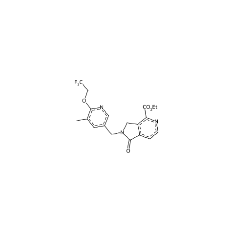 CCOC(=O)c1nccc2c1CN(Cc1cnc(OCC(F)(F)F)c(C)c1)C2=O